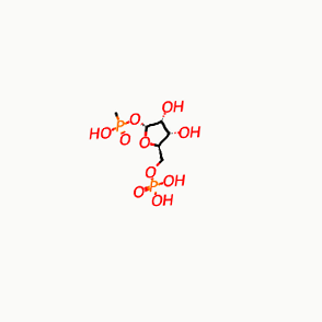 CP(=O)(O)O[C@H]1O[C@H](COP(=O)(O)O)[C@@H](O)[C@H]1O